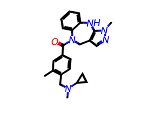 Cc1cc(C(=O)N2Cc3cnn(C)c3Nc3ccccc32)ccc1CN(C)C1CC1